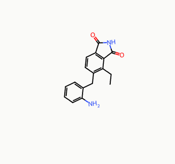 CCc1c(Cc2ccccc2N)ccc2c1C(=O)NC2=O